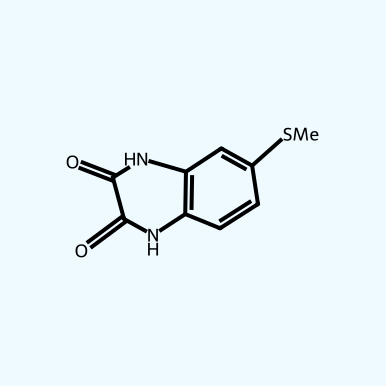 CSc1ccc2[nH]c(=O)c(=O)[nH]c2c1